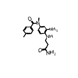 Cc1ccc(C(=O)N(C)c2ccc(NCCC(N)=O)c(N)c2)cc1